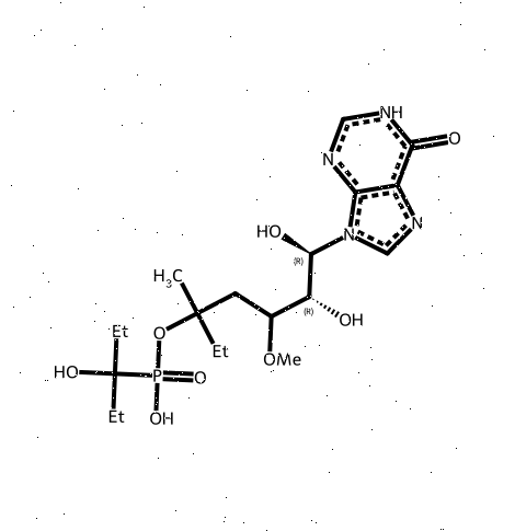 CCC(C)(CC(OC)[C@@H](O)[C@@H](O)n1cnc2c(=O)[nH]cnc21)OP(=O)(O)C(O)(CC)CC